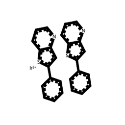 [Ir+3].c1ccc(-c2cc3ncccc3s2)cc1.c1ccc(-c2cc3ncccc3s2)cc1